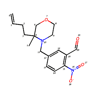 C=CCCC1(C)COCCN1Cc1ccc([N+](=O)[O-])c(C=O)c1